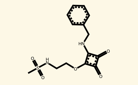 CS(=O)(=O)NCCOc1c(NCc2ccccc2)c(=O)c1=O